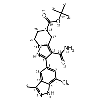 Cc1n[nH]c2c(Cl)cc(-c3nn4c(c3C(N)=O)CN(C(=O)OC(C)(C)C)CC4)cc12